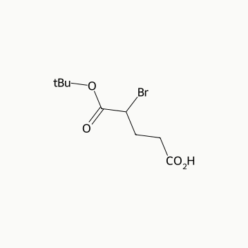 CC(C)(C)OC(=O)C(Br)CCC(=O)O